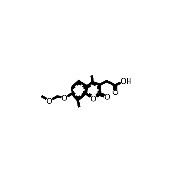 COCOc1ccc2c(C)c(CC(=O)O)c(=O)oc2c1C